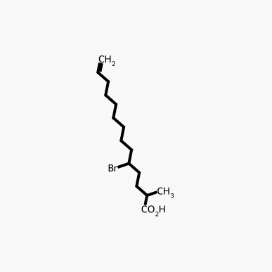 C=CCCCCCCCC(Br)CCC(C)C(=O)O